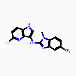 CCc1ccc2[nH]cc(Nc3nc4cc(C(F)(F)F)ccc4n3C)c2n1